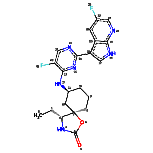 CC[C@H]1NC(=O)O[C@@]12CCC[C@H](Nc1nc(-c3c[nH]c4ncc(F)cc34)ncc1F)C2